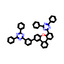 c1ccc(-c2nc(-c3ccccc3)nc(-c3cccc(-c4ccc5c(c4)-c4ccccc4-c4cccc(-c6nc(-c7ccccc7)nc(-c7ccccc7)n6)c4O5)c3)n2)cc1